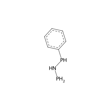 PNPc1ccccc1